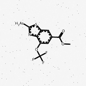 COC(=O)c1cc(OC(F)(F)F)c2nc([AsH2])sc2c1